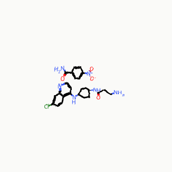 NC(=O)c1ccc([N+](=O)[O-])cc1.NCCC(=O)N[C@H]1CC[C@@H](Nc2ccnc3cc(Cl)ccc23)CC1